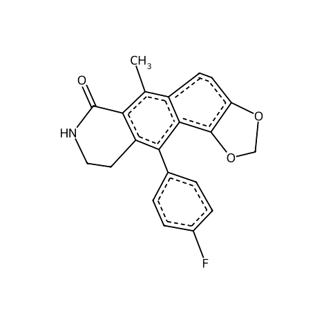 Cc1c2c(c(-c3ccc(F)cc3)c3c4c(ccc13)OCO4)CCNC2=O